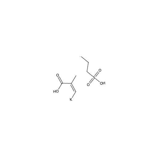 CC(=[CH][K])C(=O)O.[CH2]CCS(=O)(=O)O